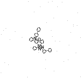 c1ccc(-c2ccc(-n3c4ccccc4c4ccc5c(oc6cccc(-c7nc(-c8ccccc8)nc(-c8cccc(-c9ccccc9)c8)n7)c65)c43)cc2)cc1